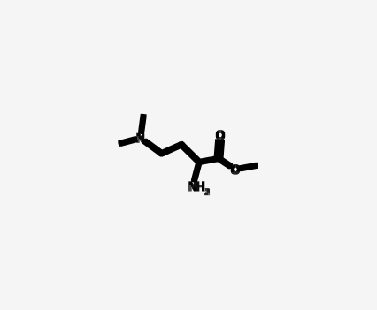 COC(=O)C(N)CCN(C)C